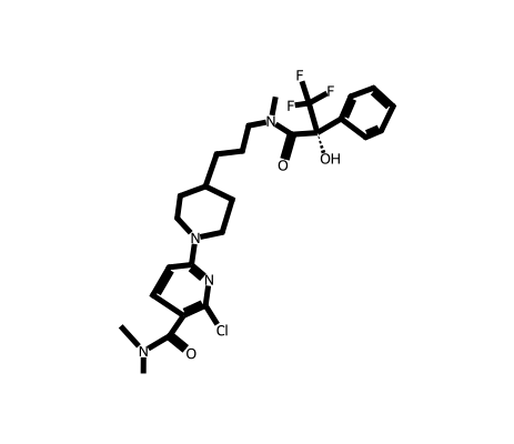 CN(C)C(=O)c1ccc(N2CCC(CCCN(C)C(=O)[C@](O)(c3ccccc3)C(F)(F)F)CC2)nc1Cl